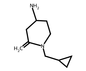 C=C1CC(N)CCN1CC1CC1